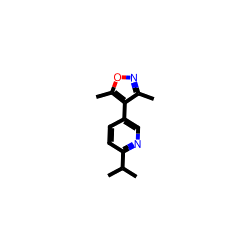 Cc1noc(C)c1-c1ccc(C(C)C)nc1